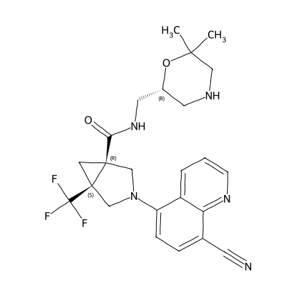 CC1(C)CNC[C@H](CNC(=O)[C@@]23CN(c4ccc(C#N)c5ncccc45)C[C@]2(C(F)(F)F)C3)O1